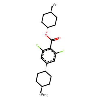 CCCCC[C@H]1CC[C@H](c2cc(F)c(C(=O)O[C@H]3CC[C@H](CCC)CC3)c(F)c2)CC1